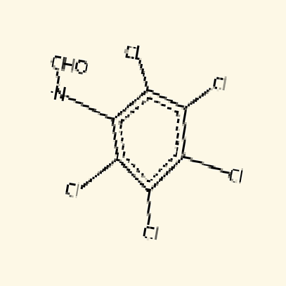 O=C[N]c1c(Cl)c(Cl)c(Cl)c(Cl)c1Cl